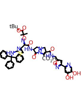 CC(C)(C)OC(=O)C(C)(C)O/N=C(\C(=O)N[C@H]1CN2CC(C(=O)NCc3cc(-c4cc(O)c(O)cn4)no3)=C(C(=O)O)N2C1=O)c1csc(NC(c2ccccc2)(c2ccccc2)c2ccccc2)n1